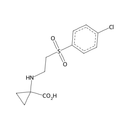 O=C(O)C1(NCCS(=O)(=O)c2ccc(Cl)cc2)CC1